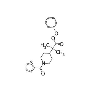 CC(C)(C(=O)OOc1ccccc1)C1CCN(C(=O)c2cccs2)CC1